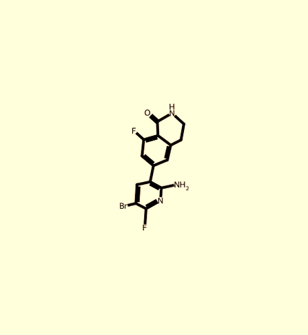 Nc1nc(F)c(Br)cc1-c1cc(F)c2c(c1)CCNC2=O